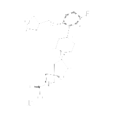 CC(C)(C)OC(=O)N1CC2(CC(N3CCC(c4cc(F)ccc4OCC4CCOC4)CC3)CO2)C1